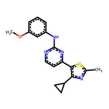 COc1cccc(Nc2nccc(-c3sc(C)nc3C3CC3)n2)c1